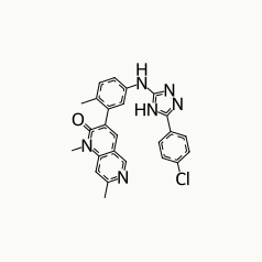 Cc1cc2c(cn1)cc(-c1cc(Nc3nnc(-c4ccc(Cl)cc4)[nH]3)ccc1C)c(=O)n2C